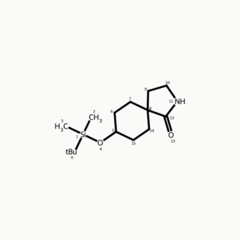 CC(C)(C)[Si](C)(C)OC1CCC2(CCNC2=O)CC1